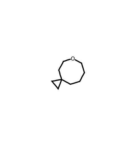 C1CCC2(CCOC1)CC2